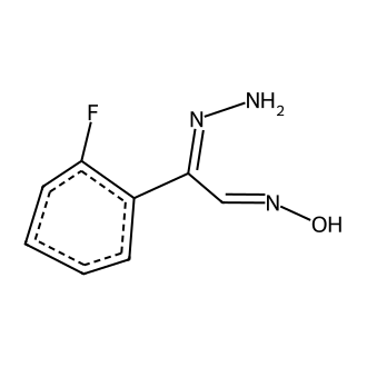 NN=C(C=NO)c1ccccc1F